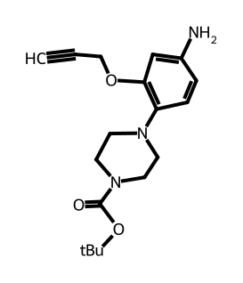 C#CCOc1cc(N)ccc1N1CCN(C(=O)OC(C)(C)C)CC1